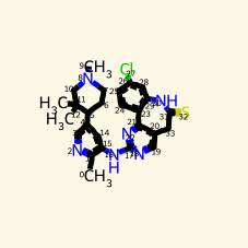 Cc1ncc(C2CCN(C)CC2(C)C)cc1Nc1ncc2c(n1)-c1ccc(Cl)cc1NC(=S)C2